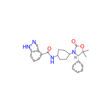 CC1(C)OC(=O)N(C2CCC(NC(=O)c3cccc4[nH]ncc34)CC2)[C@H]1c1ccccc1